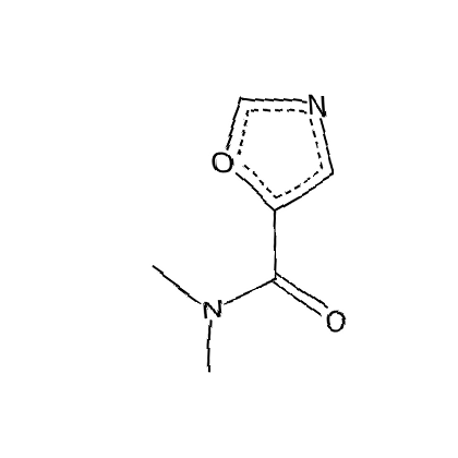 CN(C)C(=O)c1cnco1